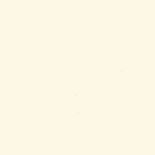 Cc1ccc(C(C#Cc2ccccc2)(CCCCC#N)C(=O)Nc2ccccn2)cc1